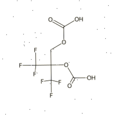 O=C(O)OCC(OC(=O)O)(C(F)(F)F)C(F)(F)F